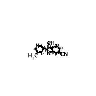 Cc1cncc(-c2nc3cc(C#N)ccc3n2C)c1